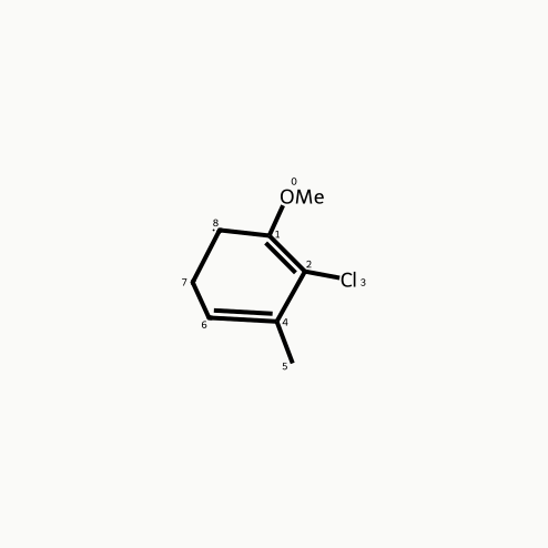 COC1=C(Cl)C(C)=CC[CH]1